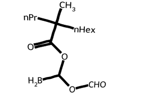 BC(OC=O)OC(=O)C(C)(CCC)CCCCCC